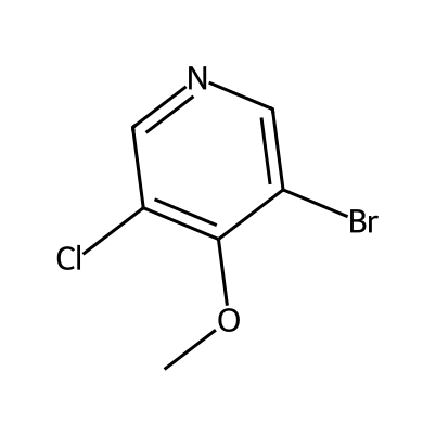 COc1c(Cl)cncc1Br